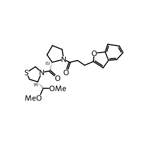 COC(OC)[C@@H]1CSCN1C(=O)[C@@H]1CCCN1C(=O)CCc1cc2ccccc2o1